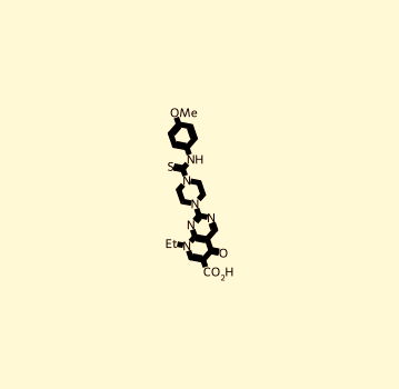 CCn1cc(C(=O)O)c(=O)c2cnc(N3CCN(C(=S)Nc4ccc(OC)cc4)CC3)nc21